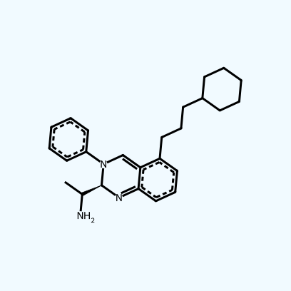 CC(N)[C@@H]1N=c2cccc(CCCC3CCCCC3)c2=CN1c1ccccc1